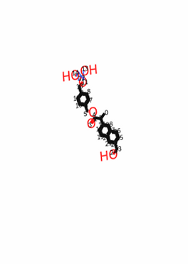 CC(C(=O)OCc1ccc(CON(O)O)cc1)c1ccc2cc(CO)ccc2c1